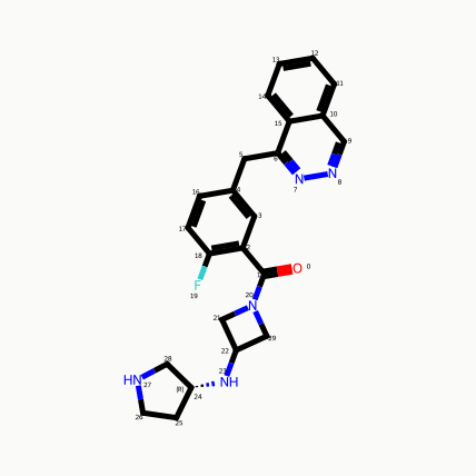 O=C(c1cc(Cc2nncc3ccccc23)ccc1F)N1CC(N[C@@H]2CCNC2)C1